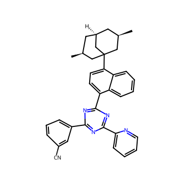 C[C@@H]1C[C@@H]2C[C@H](C)CC(c3ccc(-c4nc(-c5cccc(C#N)c5)nc(-c5ccccn5)n4)c4ccccc34)(C1)C2